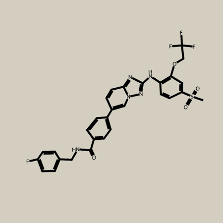 CS(=O)(=O)c1ccc(Nc2nc3ccc(-c4ccc(C(=O)NCc5ccc(F)cc5)cc4)cn3n2)c(OCC(F)(F)F)c1